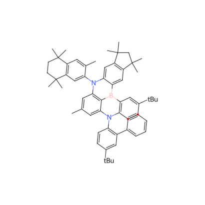 Cc1cc2c3c(c1)N(c1ccc(C(C)(C)C)cc1-c1ccccc1)c1ccc(C(C)(C)C)cc1B3c1cc3c(cc1N2c1cc2c(cc1C)C(C)(C)CCC2(C)C)C(C)(C)CC3(C)C